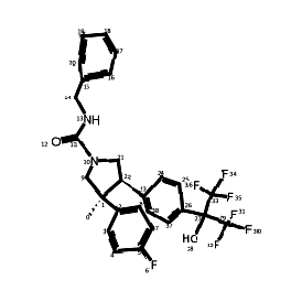 C[C@]1(c2ccc(F)cc2)CN(C(=O)NCc2ccccc2)C[C@H]1c1ccc(C(O)(C(F)(F)F)C(F)(F)F)cc1